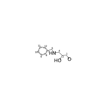 [O]CC(O)CNCc1ccccc1